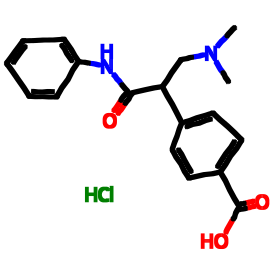 CN(C)CC(C(=O)Nc1ccccc1)c1ccc(C(=O)O)cc1.Cl